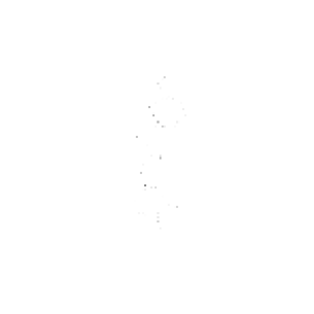 COc1cccc(N(C)C(=S)Oc2ccc(Cl)c(C)c2)n1